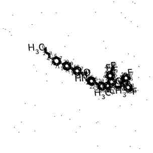 CCCCC[C@H]1CC[C@H](c2ccc(-c3ccc(C(=O)Nc4ccc(-c5ccc6c(c5)-c5c(c7c(c8cc(C(F)(F)F)ccc58)OC(c5ccc(F)cc5)(c5ccc(F)cc5)C=C7)C6(C)C)cc4)cc3)cc2)CC1